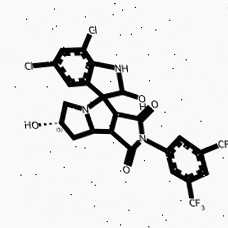 O=C1C2C3C[C@H](O)CN3C3(c4cc(Cl)cc(Cl)c4NC3O)C2C(=O)N1c1cc(C(F)(F)F)cc(C(F)(F)F)c1